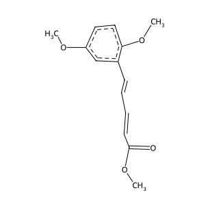 COC(=O)/C=C/C=C/c1cc(OC)ccc1OC